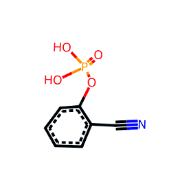 N#Cc1ccccc1OP(=O)(O)O